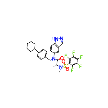 C[C@H](C(=O)N(Cc1ccc(C2CCCCC2)cc1)c1ccc2[nH]ncc2c1)N(C)S(=O)(=O)c1c(F)c(F)c(F)c(F)c1F